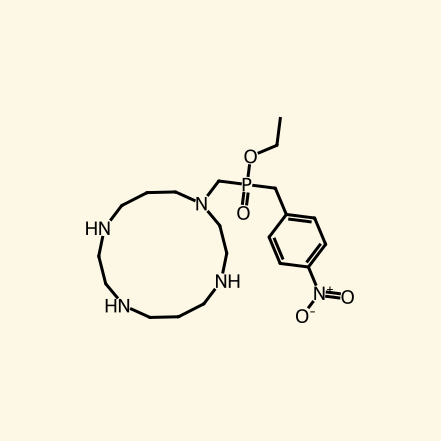 CCOP(=O)(Cc1ccc([N+](=O)[O-])cc1)CN1CCCNCCNCCCNCC1